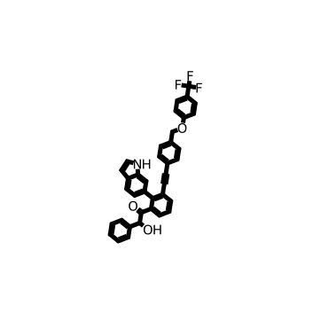 O=C(c1cccc(C#Cc2ccc(COc3ccc(C(F)(F)F)cc3)cc2)c1-c1ccc2cc[nH]c2c1)C(O)c1ccccc1